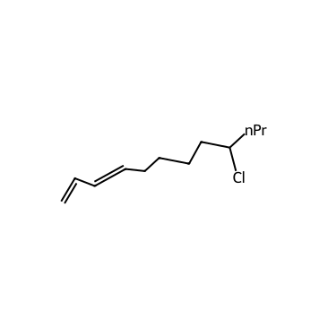 C=CC=CCCCCC(Cl)CCC